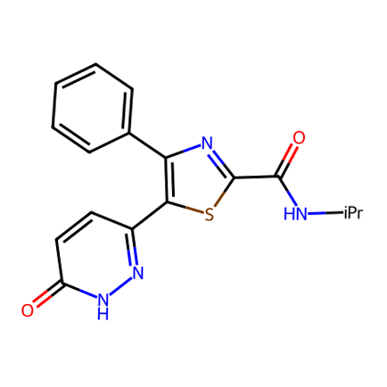 CC(C)NC(=O)c1nc(-c2ccccc2)c(-c2ccc(=O)[nH]n2)s1